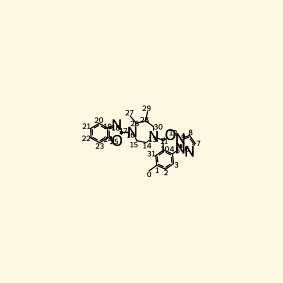 Cc1ccc(-n2nccn2)c(C(=O)N2CCN(c3nc4ccccc4o3)C(C)C(C)C2)c1